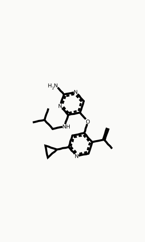 C=C(C)c1cnc(C2CC2)cc1Oc1cnc(N)nc1NCC(C)C